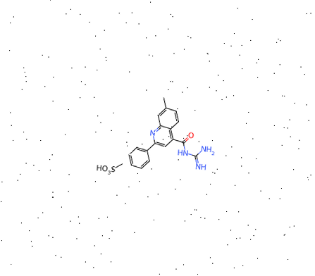 CS(=O)(=O)O.Cc1ccc2c(C(=O)NC(=N)N)cc(-c3ccccc3)nc2c1